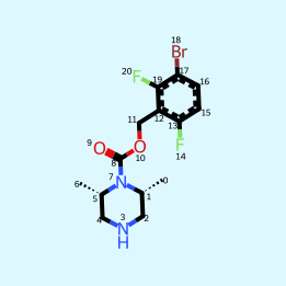 C[C@@H]1CNC[C@H](C)N1C(=O)OCc1c(F)ccc(Br)c1F